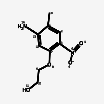 Cc1cc([N+](=O)[O-])c(OCCO)cc1N